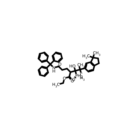 CCOC(=O)C(CCC(=O)NC(c1ccccc1)(c1ccccc1)c1ccccc1)C(O)([PH2]=O)C(C)(C)c1ccc2c(c1)C(C)(C)CC2